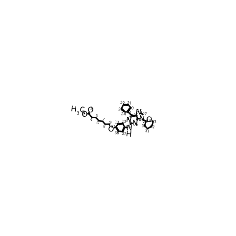 COC(=O)CCCCCCOc1ccc(Nc2nc(-c3ccccc3)c3ncn(C4CCCCO4)c3n2)cc1